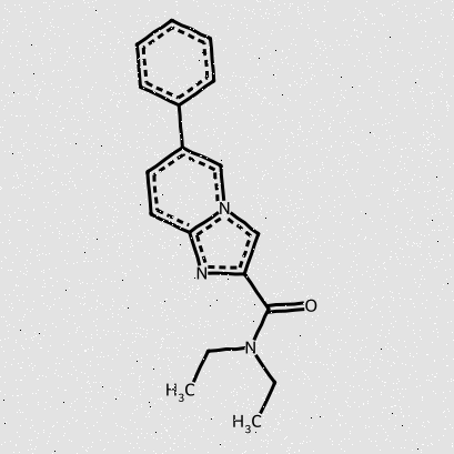 CCN(CC)C(=O)c1cn2cc(-c3ccccc3)ccc2n1